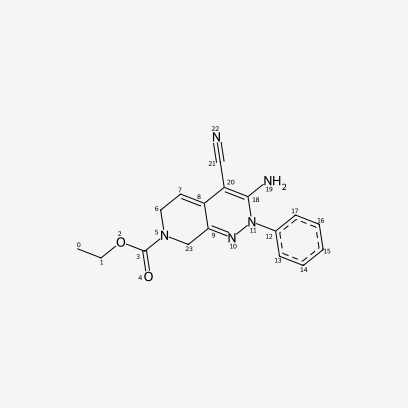 CCOC(=O)N1CC=C2C(=NN(c3ccccc3)C(N)=C2C#N)C1